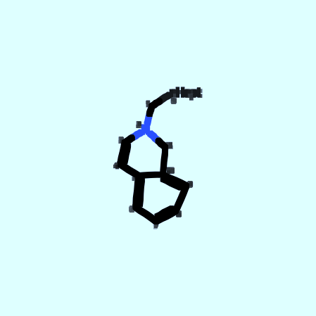 CCCCCCCCN1C=Cc2ccccc2C1